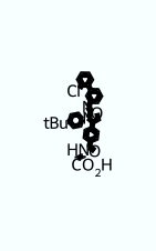 CC(C)(C)C1CCC(N2C(=Nc3cccc(-c4ccccc4Cl)c3)OCC2c2ccc(C(=O)NCCC(=O)O)cc2)CC1